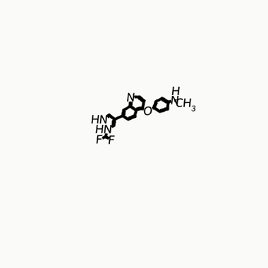 CNc1ccc(Oc2ccnc3cc(/C(C=N)=C/NC(F)F)ccc23)cc1